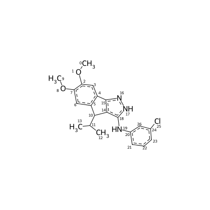 COc1cc2c(cc1OC)C(C(C)C)c1c-2n[nH]c1Nc1cccc(Cl)c1